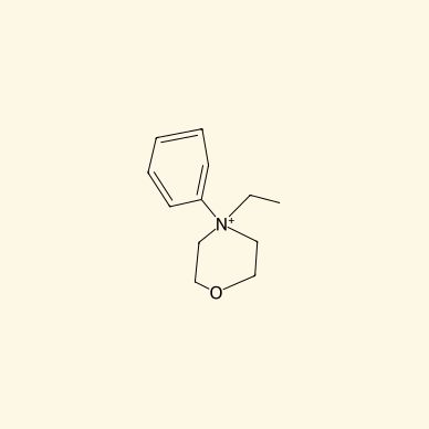 CC[N+]1(c2ccccc2)CCOCC1